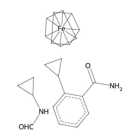 NC(=O)c1ccccc1C1CC1.O=CNC1CC1.[CH]12[CH]3[CH]4[CH]5[CH]1[Fe]23451678[CH]2[CH]1[CH]6[CH]7[CH]28